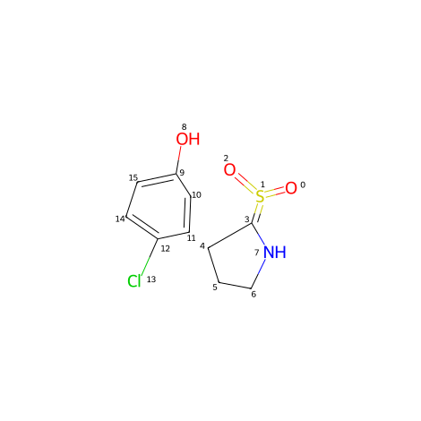 O=S(=O)=C1CCCN1.Oc1ccc(Cl)cc1